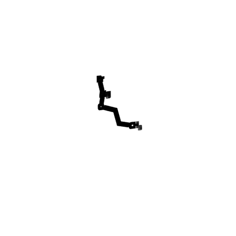 CCC[O][Mg][Br]